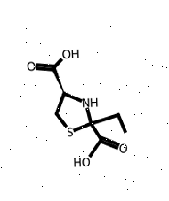 CCC1(C(=O)O)N[C@H](C(=O)O)CS1